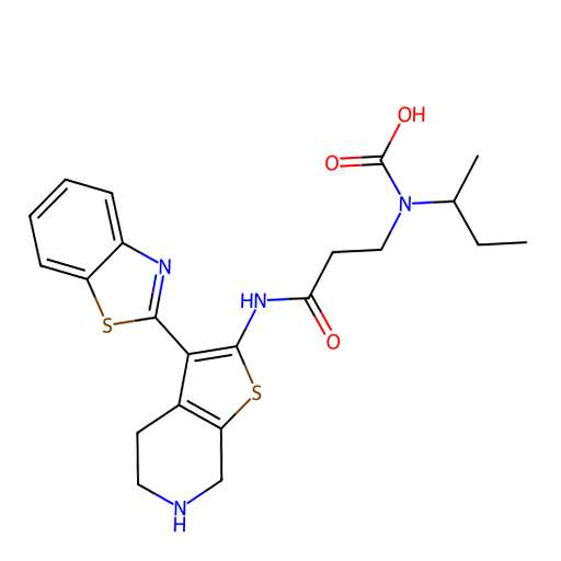 CCC(C)N(CCC(=O)Nc1sc2c(c1-c1nc3ccccc3s1)CCNC2)C(=O)O